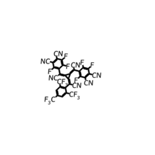 N#CC(=C1C(=C(\C#N)c2c(C(F)(F)F)cc(C(F)(F)F)cc2C(F)(F)F)/C1=C(\C#N)c1c(F)c(F)c(C#N)c(C#N)c1F)c1c(F)c(F)c(C#N)c(C#N)c1F